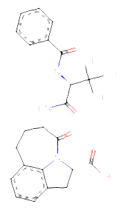 CC(C)(C)[C@H](NC(=O)c1ccccc1)C(=O)N[C@H]1CCc2cccc3c2N(C1=O)[C@H](C(=O)O)C3